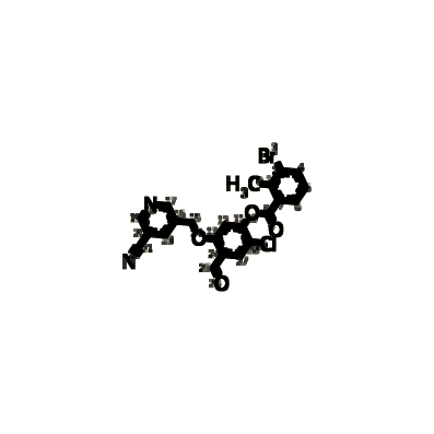 Cc1c(Br)cccc1C(=O)Oc1cc(OCc2cncc(C#N)c2)c(C=O)cc1Cl